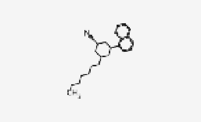 CCCCCCCC1CC(C#N)CC(c2cccc3ccccc23)C1